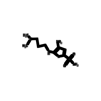 CN(C)CCCNc1sc(S(N)(=O)=O)cc1[N+](=O)[O-]